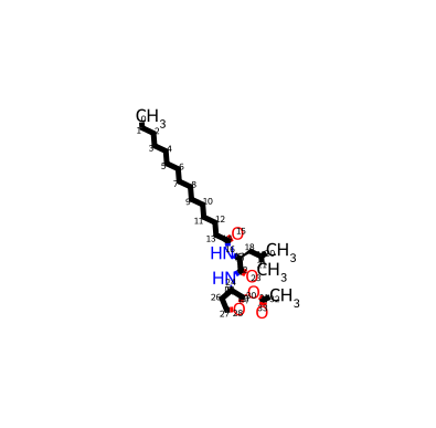 CCCCCCCCCCCCCCC(=O)N[C@@H](CC(C)C)C(=O)N[C@H]1CCO[C@H]1OC(C)=O